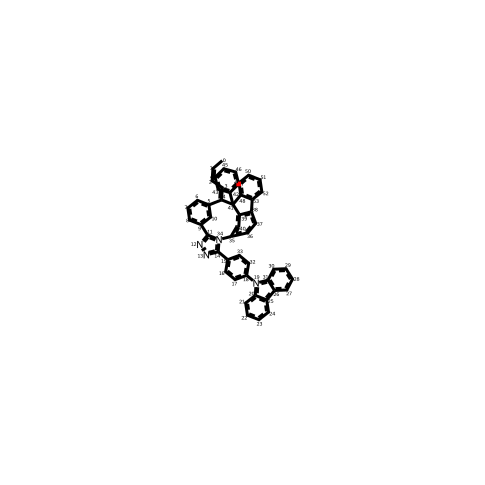 C/C=C\C=C1/c2cccc(c2)-c2nnc(-c3ccc(-n4c5ccccc5c5ccccc54)cc3)n2-c2ccc3c(c2)C1(c1ccccc1)c1ccccc1-3